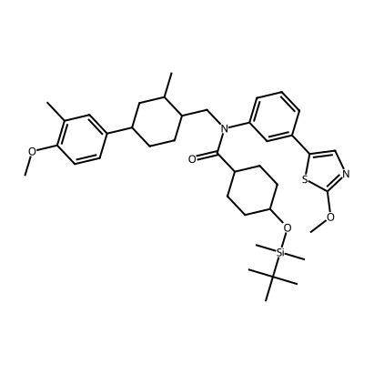 COc1ncc(-c2cccc(N(CC3CCC(c4ccc(OC)c(C)c4)CC3C)C(=O)C3CCC(O[Si](C)(C)C(C)(C)C)CC3)c2)s1